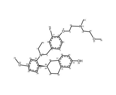 CCN(Cc1ccc(OCCN(C)CCOC)c(F)c1)c1cc(OC)ccc1[C@@H]1CCc2cc(O)ccc2C1